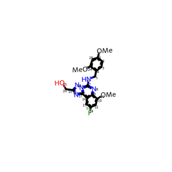 COc1ccc(CNc2nc3c(OC)cc(F)cc3c3nc(CO)nn23)c(OC)c1